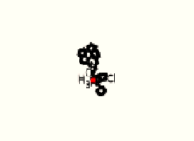 C/N=C(/c1ccccc1)c1cc(Cl)ccc1N(C)C(=O)CN1Cc2ccc3ccccc3c2-c2c(ccc3ccccc23)C1